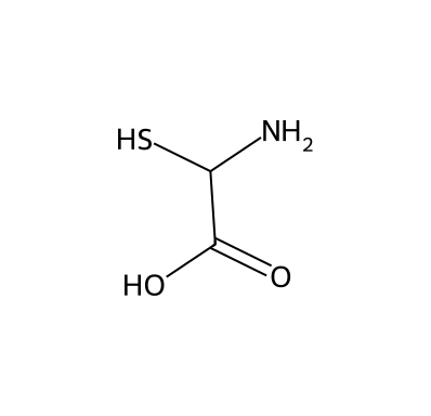 NC(S)C(=O)O